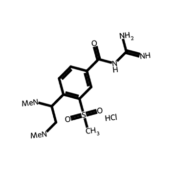 CNCC(NC)c1ccc(C(=O)NC(=N)N)cc1S(C)(=O)=O.Cl